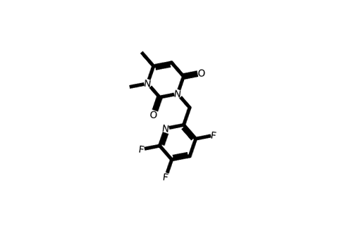 Cc1cc(=O)n(Cc2nc(F)c(F)cc2F)c(=O)n1C